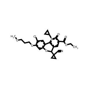 CCOC(=O)c1cc2c(n(C3CC3)c1=O)-c1cc(Cl)c(OCCCOC)cc1OC2C1(C#N)CC1